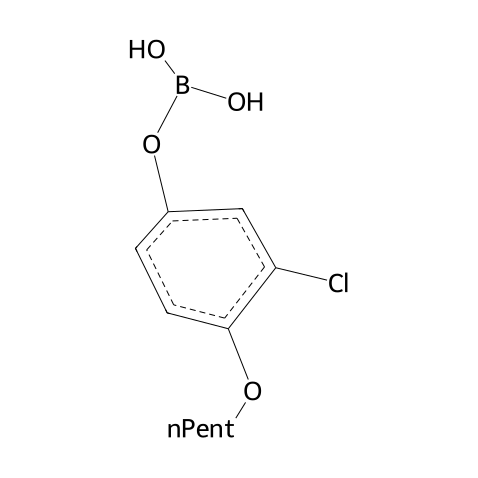 CCCCCOc1ccc(OB(O)O)cc1Cl